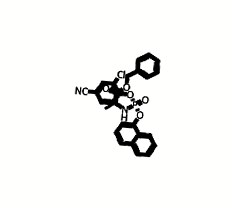 C[C@H](NP(=O)(Oc1ccc(C#N)cc1Cl)Oc1cccc2ccccc12)C(=O)OCc1ccccc1